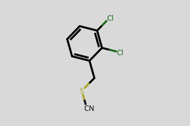 N#CSCc1cccc(Cl)c1Cl